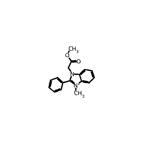 COC(=O)Cn1c(-c2ccccc2)[n+](C)c2ccccc21